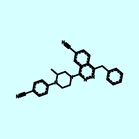 CC1CN(c2nnc(Cc3ccccc3)c3ccc(C#N)cc23)CCN1c1ccc(C#N)cc1